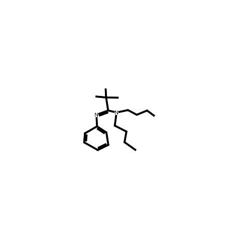 CCCCN(CCCC)C(=Nc1ccccc1)C(C)(C)C